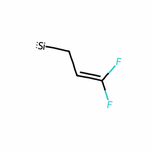 FC(F)=CC[Si]